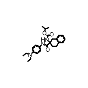 CCN(CC)c1ccc(NC(=O)C2(NC(=O)OC(C)C)CCc3ccccc3C2)cc1